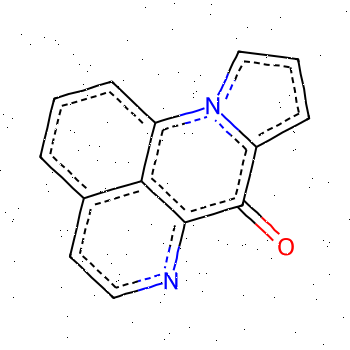 O=c1c2nccc3cccc(c32)n2cccc12